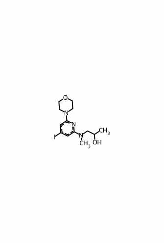 CC(O)CN(C)c1cc(I)cc(N2CCOCC2)n1